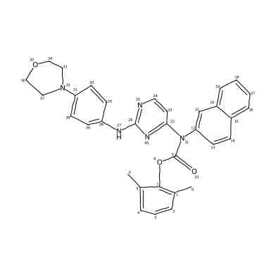 Cc1cccc(C)c1OC(=O)N(c1ccc2ccccc2c1)c1ccnc(Nc2ccc(N3CCOCC3)cc2)n1